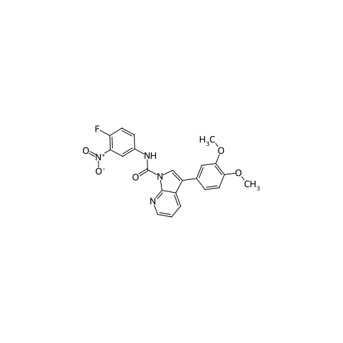 COc1ccc(-c2cn(C(=O)Nc3ccc(F)c([N+](=O)[O-])c3)c3ncccc23)cc1OC